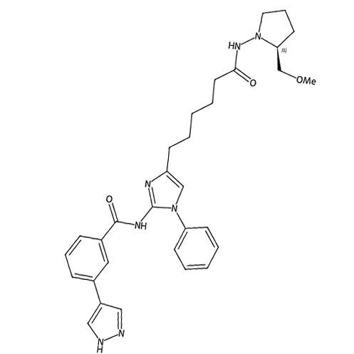 COC[C@@H]1CCCN1NC(=O)CCCCCc1cn(-c2ccccc2)c(NC(=O)c2cccc(-c3cn[nH]c3)c2)n1